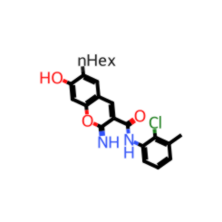 CCCCCCc1cc2cc(C(=O)Nc3cccc(C)c3Cl)c(=N)oc2cc1O